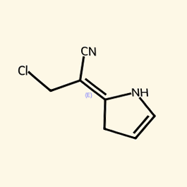 N#C/C(CCl)=C1/CC=CN1